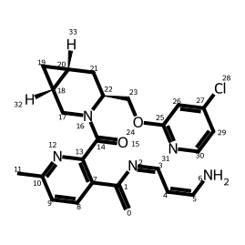 C=C(/N=C\C=C/N)c1ccc(C)nc1C(=O)N1C[C@@H]2C[C@@H]2C[C@H]1COc1cc(Cl)ccn1